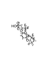 CC(F)(F)C(OC(=O)/C=C\C(=O)OC(CS(=O)(=O)O)C(F)(F)F)C(F)(F)F